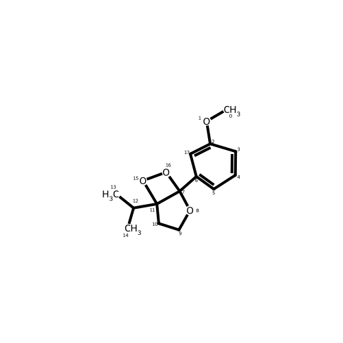 COc1cccc(C23OCCC2(C(C)C)OO3)c1